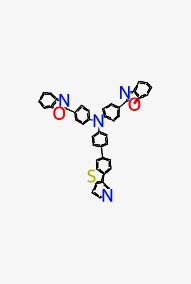 c1ccc2oc(-c3ccc(N(c4ccc(-c5ccc6c(c5)sc5ccncc56)cc4)c4ccc(-c5nc6ccccc6o5)cc4)cc3)nc2c1